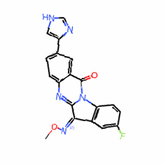 CO/N=C1/c2cc(F)ccc2-n2c1nc1ccc(-c3c[nH]cn3)cc1c2=O